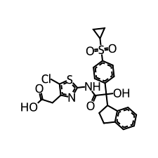 O=C(O)Cc1nc(NC(=O)C(O)(c2ccc(S(=O)(=O)C3CC3)cc2)C2CCc3ccccc32)sc1Cl